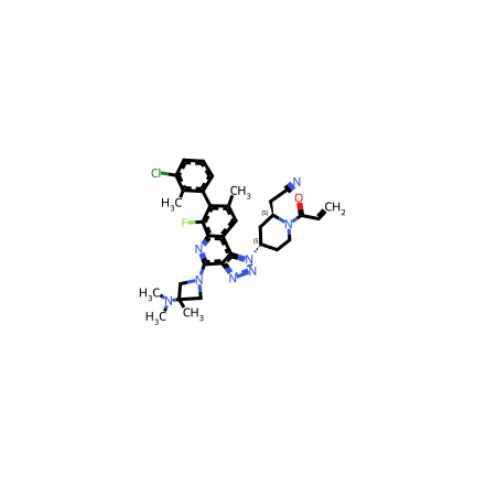 C=CC(=O)N1CC[C@H](n2nnc3c(N4CC(C)(N(C)C)C4)nc4c(F)c(-c5cccc(Cl)c5C)c(C)cc4c32)C[C@H]1CC#N